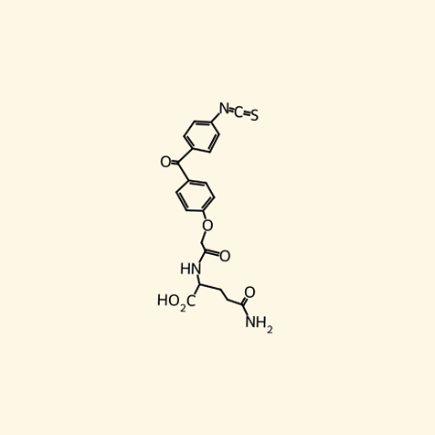 NC(=O)CCC(NC(=O)COc1ccc(C(=O)c2ccc(N=C=S)cc2)cc1)C(=O)O